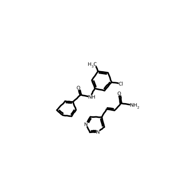 Cc1cc(Cl)cc(NC(=O)c2ccccc2)c1.NC(=O)C=Cc1cncnc1